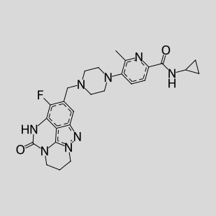 Cc1nc(C(=O)NC2CC2)ccc1N1CCN(Cc2cc3nn4c5c3c(c2F)NC(=O)N5CCC4)CC1